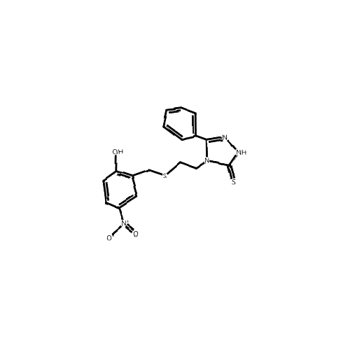 O=[N+]([O-])c1ccc(O)c(CSCCn2c(-c3ccccc3)n[nH]c2=S)c1